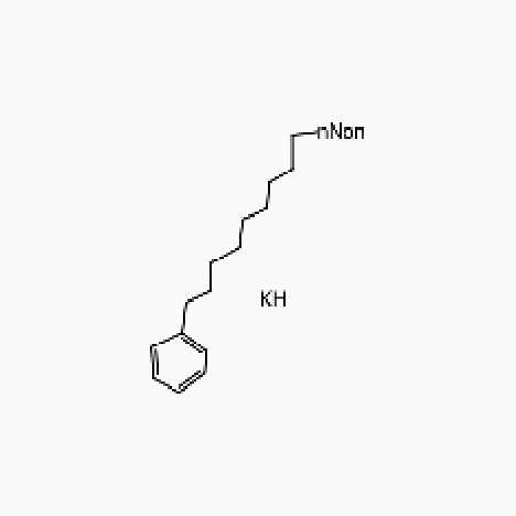 CCCCCCCCCCCCCCCCCCc1ccccc1.[KH]